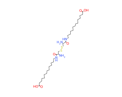 NC(CSSCC(N)C(=O)NCCCCCCCCCCCCCC(=O)O)C(=O)NCCCCCCCCCCCCCC(=O)O